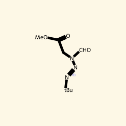 COC(=O)CN(C=O)/N=N/C(C)(C)C